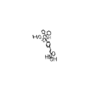 O=C(C=Cc1ccc(C(=O)N[C@](C(=O)O)(C2CCCCC2)C2CCCC2)cc1)NO